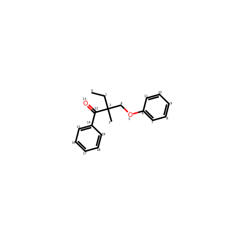 CCC(C)(COc1ccccc1)C(=O)c1ccccc1